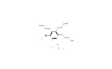 CCCCCc1c(CCCCC)c(OOC)c(O)c(C(=O)O)c1CCCCC